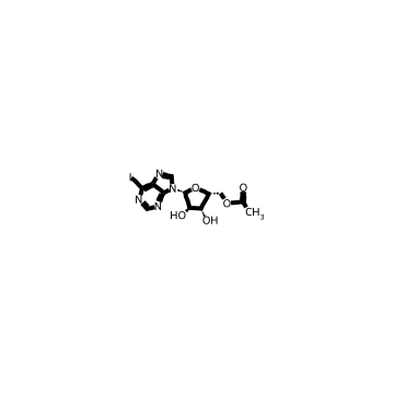 CC(=O)OC[C@H]1O[C@@H](n2cnc3c(I)ncnc32)[C@H](O)[C@H]1O